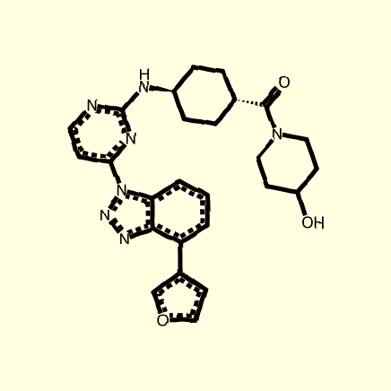 O=C([C@H]1CC[C@H](Nc2nccc(-n3nnc4c(-c5ccoc5)cccc43)n2)CC1)N1CCC(O)CC1